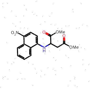 COC(=O)CC(Nc1ccc([N+](=O)[O-])c2ccccc12)C(=O)OC